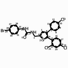 O=C(NCc1cc(-c2ccc(Cl)cc2)c(-c2ccc(Cl)cc2Cl)s1)Nc1ccc(Br)cc1